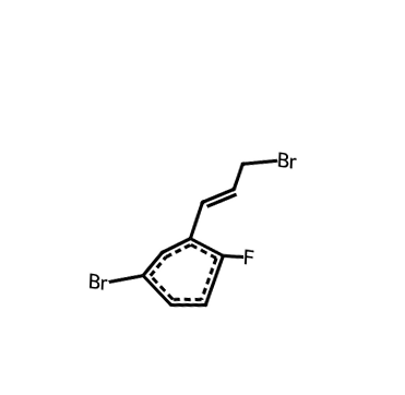 Fc1ccc(Br)cc1/C=C/CBr